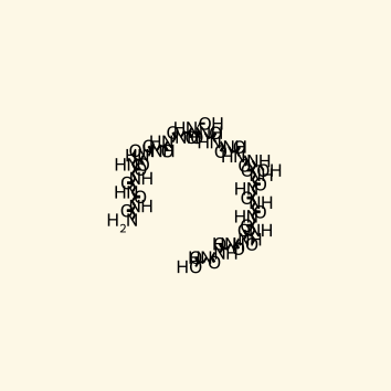 NCC(=O)NCC(=O)NCC(=O)NCC(=O)N[C@@H](CO)C(=O)NCC(=O)NCC(=O)NCC(=O)NCC(=O)N[C@@H](CO)C(=O)NCC(=O)NCC(=O)NCC(=O)NCC(=O)N[C@@H](CO)C(=O)NCC(=O)NCC(=O)NCC(=O)NCC(=O)N[C@@H](CO)C(=O)NCC(=O)NCC(=O)NCC(=O)NCC(=O)O